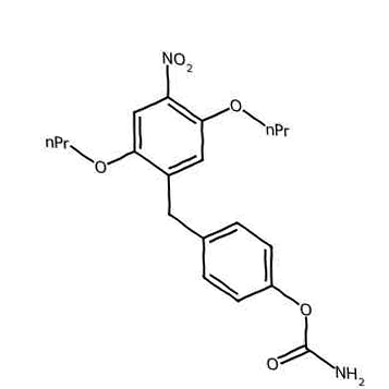 CCCOc1cc([N+](=O)[O-])c(OCCC)cc1Cc1ccc(OC(N)=O)cc1